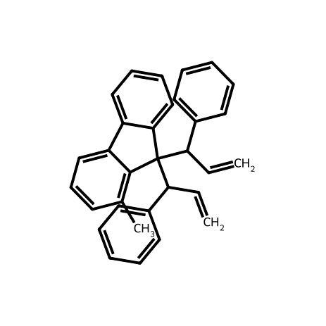 C=CC(c1ccccc1)C1(C(C=C)c2ccccc2)c2ccccc2-c2cccc(C)c21